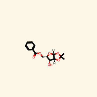 CC1(C)O[C@H]2O[C@H](COC(=O)c3ccccc3)[C@H](O)[C@H]2O1